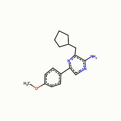 COc1ccc(-c2cnc(N)c(CC3CCCC3)n2)cc1